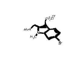 CCOC(=O)c1c(CNC)n(C)c2cc(Br)ccc12